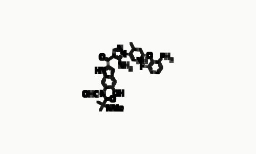 CNC(C)(C)C(=O)N(C=O)c1cc2[nH]c(C(=O)c3cnn(C4=CNC(Oc5c(F)cccc5P)C=C4C)c3N)cc2cc1O